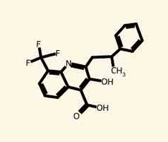 CC(Cc1nc2c(C(F)(F)F)cccc2c(C(=O)O)c1O)c1ccccc1